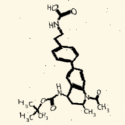 CC(=O)N1c2ccc(-c3ccc(CCNC(=O)O)cc3)cc2[C@H](NC(=O)OC(C)(C)C)C[C@@H]1C